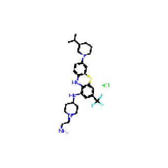 CC(C)C1CCCN(c2ccc3c(c2)Sc2cc(C(F)(F)F)cc(NC4CCN(CCN)CC4)c2N3)C1.Cl